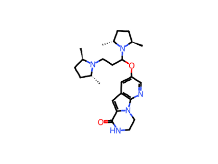 C[C@@H]1CC[C@@H](C)N1CCC(Oc1cnc2c(c1)cc1n2CCNC1=O)N1[C@H](C)CC[C@H]1C